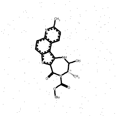 Cc1ccc2c(ccc3sc4c(c32)NC(O)[C@H](C)N(C(=O)OC(C)(C)C)C4=O)n1